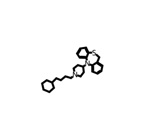 c1ccc2c(c1)CSc1ccccc1N2C1CCN(CCCCC2CCCCC2)CC1